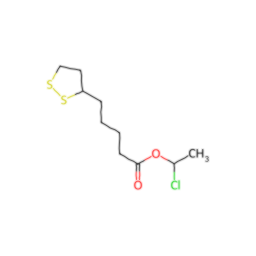 CC(Cl)OC(=O)CCCCC1CCSS1